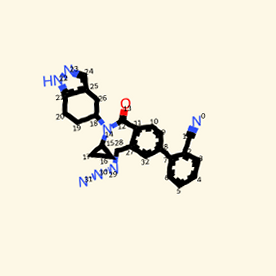 N#Cc1ccccc1-c1ccc(C(=O)N(C2CC2)C2CCc3[nH]ncc3C2)c(CN=[N+]=[N-])c1